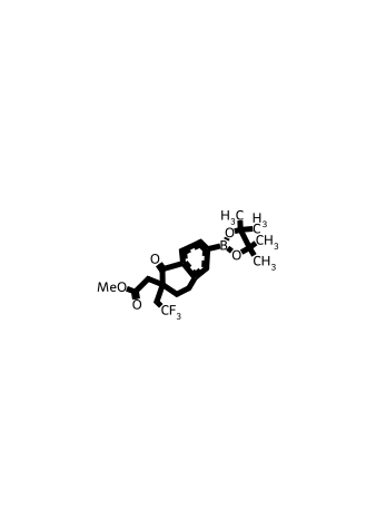 COC(=O)CC1(CC(F)(F)F)CCc2cc(B3OC(C)(C)C(C)(C)O3)ccc2C1=O